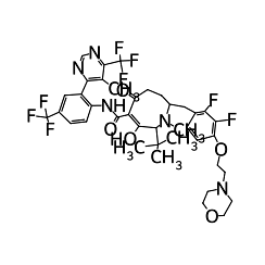 Cc1c(-c2cc(C(F)(F)F)ccc2NC(=O)/C2=C(\O)C(C(C)(C)C)N(C)C(Cc3ccc(OCCN4CCOCC4)c(F)c3F)CCC2=O)ncnc1C(F)(F)F